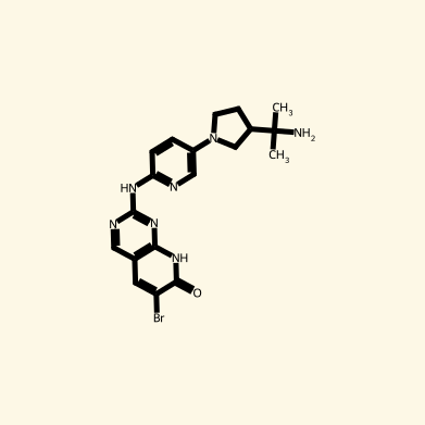 CC(C)(N)C1CCN(c2ccc(Nc3ncc4cc(Br)c(=O)[nH]c4n3)nc2)C1